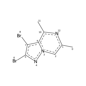 Cc1cn2nc(Br)c(Br)c2c(C)n1